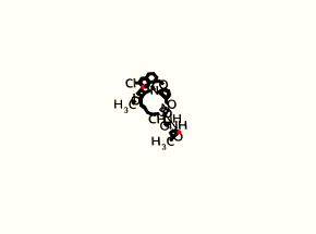 CO[C@H]1/C=C/C[C@H](C)C[S@@](=O)(CNC(=O)NC23COC(C)(C2)C3)=NC(=O)c2ccc3c(c2)N(C[C@@H]2CC[C@H]21)C[C@@]1(CCCc2cc(Cl)ccc21)CO3